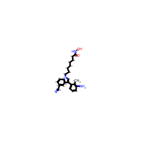 Cc1c(N)cccc1-c1cn(CCCCCCCC(=O)NO)c2ccc(C#N)cc12